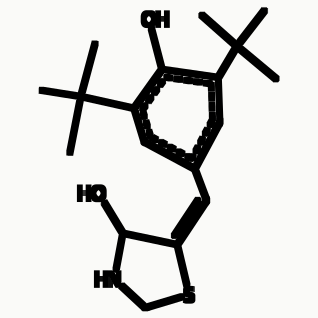 CC(C)(C)c1cc(C=C2SCNC2O)cc(C(C)(C)C)c1O